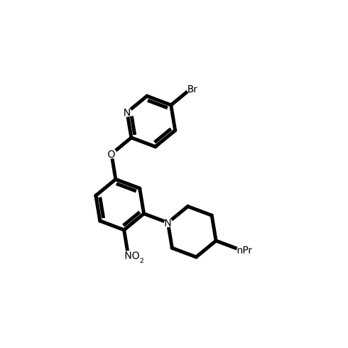 CCCC1CCN(c2cc(Oc3ccc(Br)cn3)ccc2[N+](=O)[O-])CC1